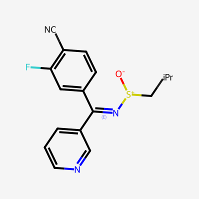 CC(C)C[S+]([O-])/N=C(/c1cccnc1)c1ccc(C#N)c(F)c1